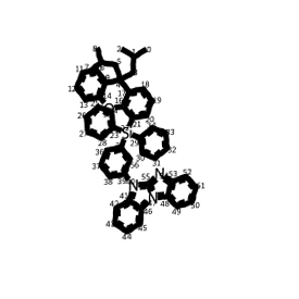 CC(C)CC1(CC(C)C)c2ccccc2Oc2c1cccc2[Si](c1ccccc1)(c1ccccc1)c1cccc(-n2c3ccccc3n3c4ccccc4nc23)c1